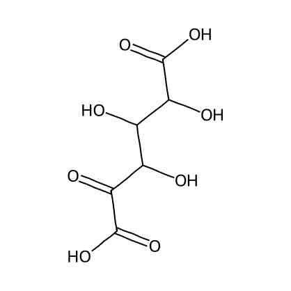 O=C(O)C(=O)C(O)C(O)C(O)C(=O)O